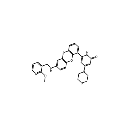 COc1ncccc1CNc1ccc2c(c1)Sc1cccc(-c3cc(N4CCOCC4)cc(=O)[nH]3)c1O2